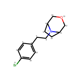 Brc1ccc(CCN2C3CCC2COC3)cc1